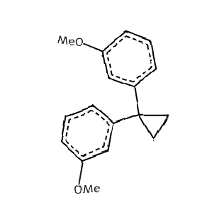 COc1cccc(C2(c3cccc(OC)c3)[CH]C2)c1